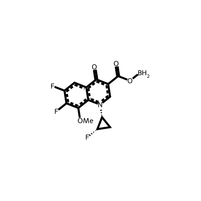 BOC(=O)c1cn([C@@H]2C[C@@H]2F)c2c(OC)c(F)c(F)cc2c1=O